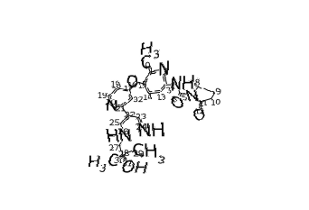 Cc1nc(NC(=O)N2CCCC2=O)ccc1Oc1ccnc(/C(C=N)=C/NCC(C)(C)O)c1